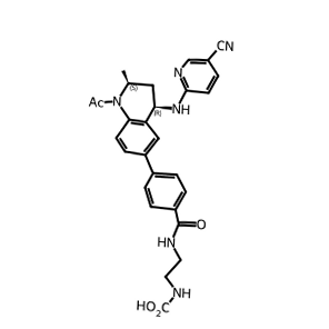 CC(=O)N1c2ccc(-c3ccc(C(=O)NCCNC(=O)O)cc3)cc2[C@H](Nc2ccc(C#N)cn2)C[C@@H]1C